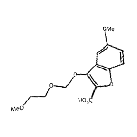 COCCOCOc1c(C(=O)O)oc2ccc(OC)cc12